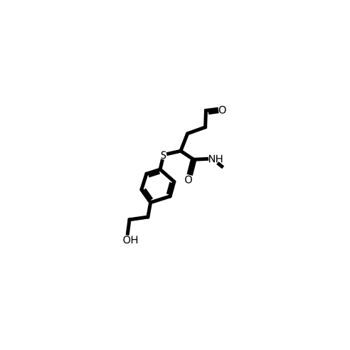 CNC(=O)C(CCC=O)Sc1ccc(CCO)cc1